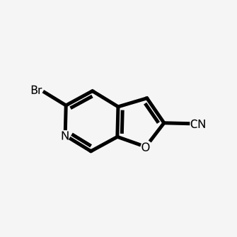 N#Cc1cc2cc(Br)ncc2o1